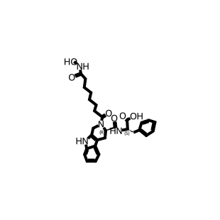 O=C(CCCCCCC(=O)N1Cc2[nH]c3ccccc3c2C[C@@H]1C(=O)N[C@@H](Cc1ccccc1)C(=O)O)NO